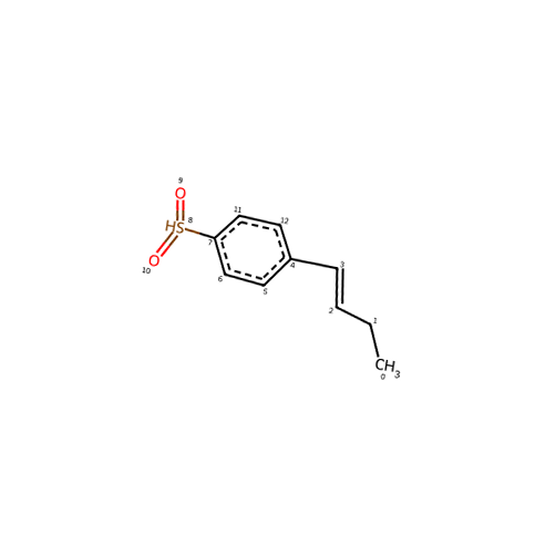 CC/C=C/c1ccc([SH](=O)=O)cc1